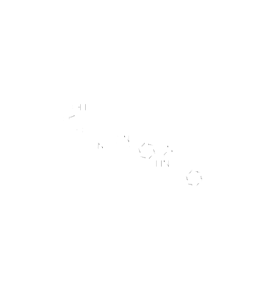 N=C(NCCc1ccccc1)c1ccc(C2CC(CN3CCC(OCC(=O)O)CC3)ON2)cc1